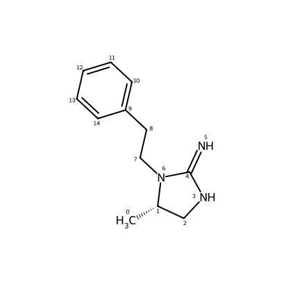 C[C@H]1CNC(=N)N1CCc1ccccc1